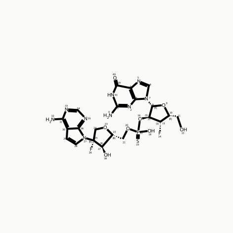 Nc1nc2c(ncn2[C@@H]2O[C@H](CO)[C@H](F)[C@H]2OP(O)(=S)OC[C@H]2OC[C@](F)(n3ccc4c(N)ncnc43)[C@@H]2O)c(=O)[nH]1